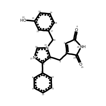 O=C1C=C(Cc2c(-c3ccccc3)ncn2Cc2cccc(O)c2)C(=O)N1